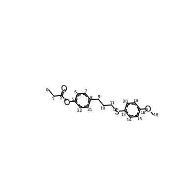 CCC(=O)Oc1ccc(CCCSc2ccc(OC)cc2)cc1